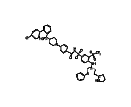 O=C(NS(=O)(=O)c1ccc(N[C@H](CC[C@H]2CCCN2)CSc2ccccc2)c(S(=O)(=O)C(F)(F)F)c1)c1ccc(N2CCC([C@@H](O)c3ccccc3-c3ccc(Cl)cc3)CC2)cc1